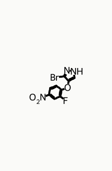 O=[N+]([O-])c1ccc(Oc2c[nH]nc2Br)c(F)c1